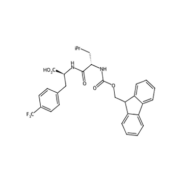 CC(C)C[C@H](NC(=O)OCC1c2ccccc2-c2ccccc21)C(=O)N[C@@H](Cc1ccc(C(F)(F)F)cc1)C(=O)O